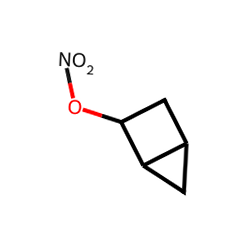 O=[N+]([O-])OC1CC2CC21